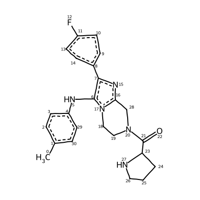 Cc1ccc(Nc2c(-c3ccc(F)cc3)nc3n2CCN(C(=O)C2CCCN2)C3)cc1